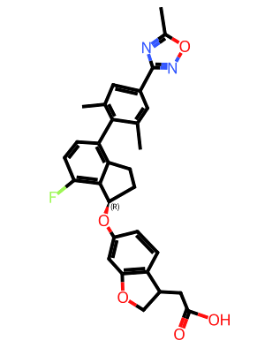 Cc1nc(-c2cc(C)c(-c3ccc(F)c4c3CC[C@H]4Oc3ccc4c(c3)OCC4CC(=O)O)c(C)c2)no1